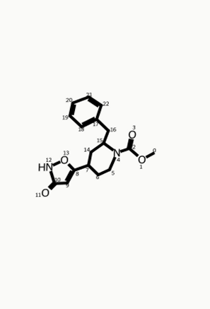 COC(=O)N1CCC(c2cc(=O)[nH]o2)CC1Cc1ccccc1